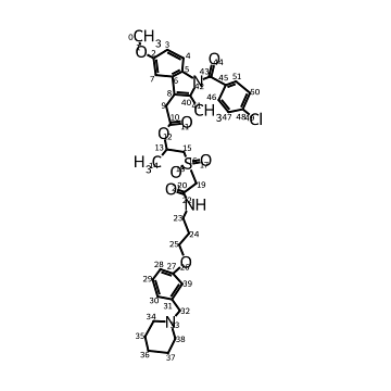 COc1ccc2c(c1)c(CC(=O)OC(C)CS(=O)(=O)CC(=O)NCCCOc1cccc(CN3CCCCC3)c1)c(C)n2C(=O)c1ccc(Cl)cc1